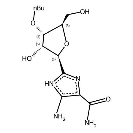 CCCCO[C@H]1[C@@H](O)[C@H](c2nc(C(N)=O)c(N)[nH]2)O[C@@H]1CO